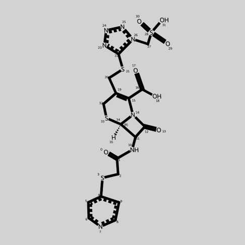 O=C(CSc1ccncc1)NC1C(=O)N2C(C(=O)O)=C(CSc3nnnn3CS(=O)(=O)O)CS[C@H]12